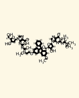 COc1ccc(C(OC[C@H]2O[C@@H](n3cnc4c(=O)[nH]c(/N=C(\C)N(C)C)nc43)CC2O)(c2ccccc2)c2ccc(OCCN(C)/C(C)=N/c3nc4c(ncn4[C@H]4CC(O)[C@@H](CO)O4)c(=O)[nH]3)cc2)cc1